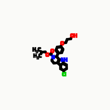 CC(C)COC(=O)N1CCc2c([nH]c3c2=CC(Cl)CC=3)C1c1ccc(OCCCO)cc1